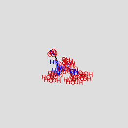 O=C(CC[C@H](NC(=O)C[C@@H](CNC(=O)CC[C@H](NC(=O)CNCC(=O)NCCCCCC(=O)ON1C(=O)CCC1=O)C(=O)NCCO[C@H]1O[C@H](CO)[C@@H](O)[C@H](O)[C@@H]1O)O[C@H]1O[C@H](CO)[C@@H](O)[C@H](O)[C@@H]1O)C(=O)NCCO[C@H]1O[C@H](CO)[C@@H](O)[C@H](O)[C@@H]1O)NCCO[C@H]1O[C@H](CO)[C@@H](O)[C@H](O)[C@@H]1O